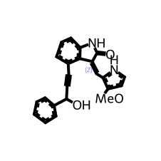 COc1cc[nH]c1/C=C1\C(=O)Nc2cccc(C#CC(O)c3ccccc3)c21